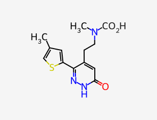 Cc1csc(-c2n[nH]c(=O)cc2CCN(C)C(=O)O)c1